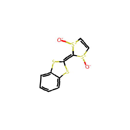 [O-][S+]1C=C[S+]([O-])C1=C1Sc2ccccc2S1